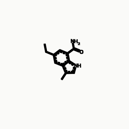 CCc1cc(C(N)=O)c2[nH]cc(C)c2c1